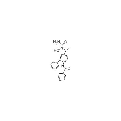 CC(c1ccc2c(c1)c1ccccc1n2C(=O)c1ccccc1)N(O)C(N)=O